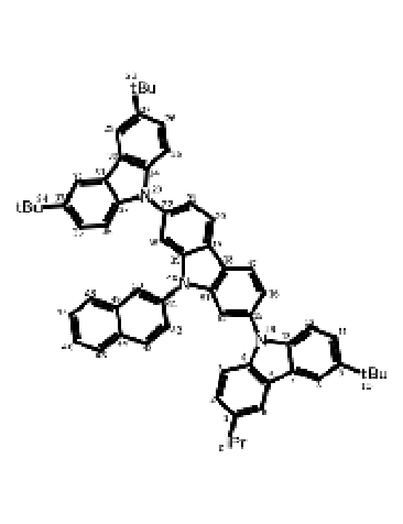 CC(C)c1ccc2c(c1)c1cc(C(C)(C)C)ccc1n2-c1ccc2c3ccc(-n4c5ccc(C(C)(C)C)cc5c5cc(C(C)(C)C)ccc54)cc3n(-c3ccc4ccccc4c3)c2c1